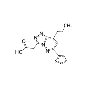 CCCc1cc(-c2cccs2)nn2c(CC(=O)O)nnc12